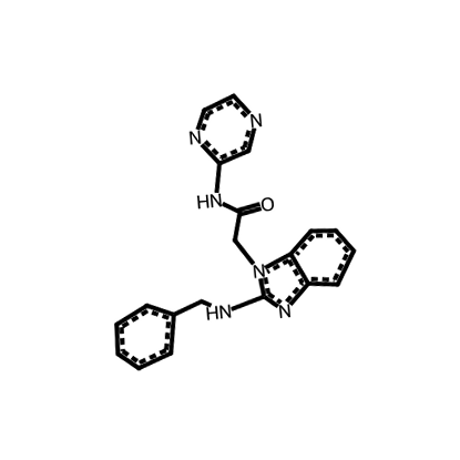 O=C(Cn1c(NCc2ccccc2)nc2ccccc21)Nc1cnccn1